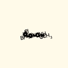 CCC(=O)NC1CCC(CCN2CCC(Cc3cc(Cl)ccc3Br)CC2)CC1